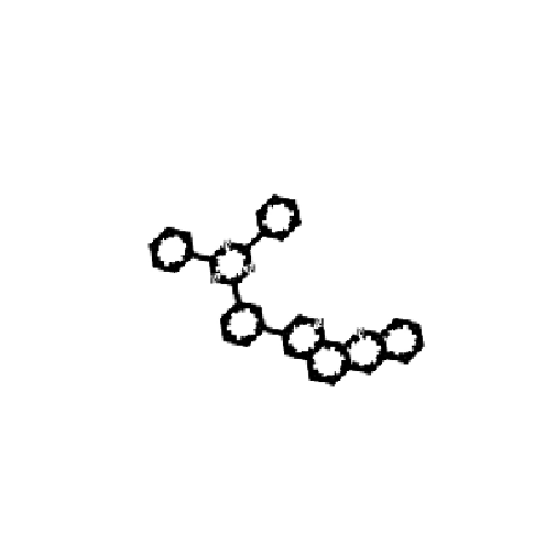 c1ccc(-c2nc(-c3ccccc3)nc(-c3cccc(-c4cnc5c(ccc6cc7ccccc7nc65)c4)c3)n2)cc1